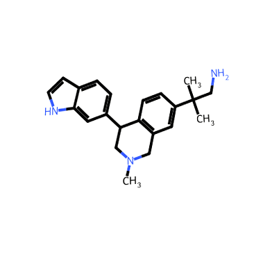 CN1Cc2cc(C(C)(C)CN)ccc2C(c2ccc3cc[nH]c3c2)C1